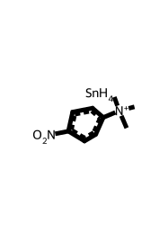 C[N+](C)(C)c1ccc([N+](=O)[O-])cc1.[SnH4]